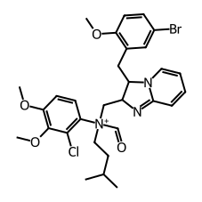 COc1ccc(Br)cc1CC1C(C[N+](C=O)(CCC(C)C)c2ccc(OC)c(OC)c2Cl)N=C2C=CC=CN21